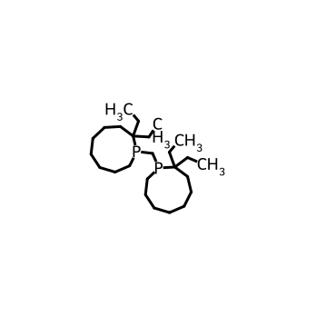 CCC1(CC)CCCCCCCP1CP1CCCCCCCC1(CC)CC